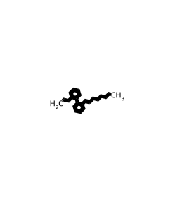 C=CCc1ccccc1-c1ccc[c]c1C=CCCCCCC